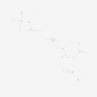 O=C(O)C[C@H](NC(=O)CNCCNC(=O)C(F)(F)F)C(=O)O